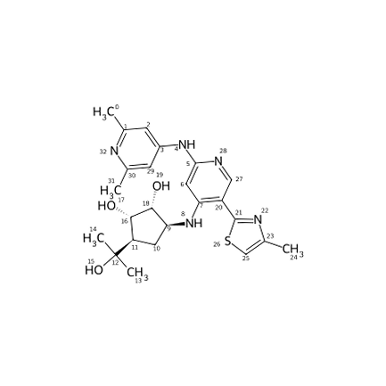 Cc1cc(Nc2cc(N[C@H]3C[C@@H](C(C)(C)O)[C@H](O)[C@@H]3O)c(-c3nc(C)cs3)cn2)cc(C)n1